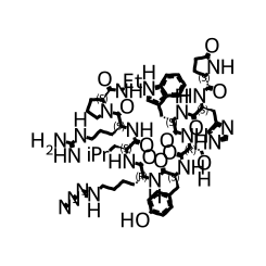 CCNC(=O)[C@@H]1CCCN1C(=O)[C@H](CCCNC(=N)N)NC(=O)[C@H](CC(C)C)NC(=O)[C@@H](CCCCNN=[N+]=[N-])NC(=O)[C@H](Cc1ccc(O)cc1)NC(=O)[C@@H](CO)NC(=O)[C@H](Cc1c[nH]c2ccccc12)NC(=O)[C@H](Cc1c[nH]cn1)NC(=O)[C@@H]1CCC(=O)N1